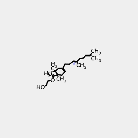 CC(C)=CCC/C(C)=C/CCC1=CCC(C)(C(=O)OCCO)C(C)(C)C1